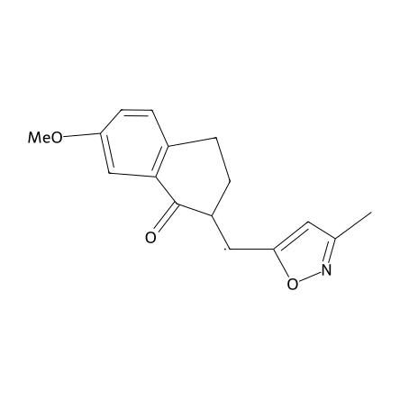 COc1ccc2c(c1)C(=O)C([CH]c1cc(C)no1)CC2